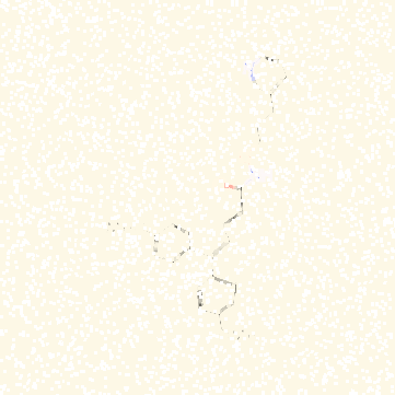 COc1ccc(C(=C/C=C/C(=O)NOCCCc2cccnc2)c2ccc(OC)cc2)cc1